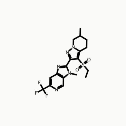 CCS(=O)(=O)c1c(-c2nc3cc(C(F)(F)F)ncc3n2C)nn2c1CCC(C)C2